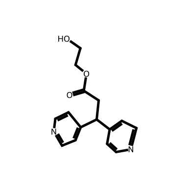 O=C(CC(c1ccncc1)c1ccncc1)OCCO